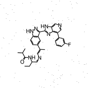 CCC(/C=N\C=C(/C)c1ccc2[nH]nc(-c3nc4c(-c5cccc(F)c5)cncc4[nH]3)c2c1)NC(=O)C(C)C